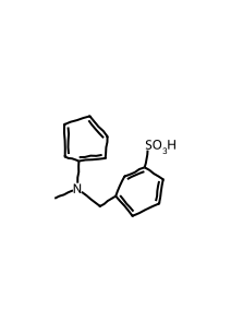 CN(Cc1cccc(S(=O)(=O)O)c1)c1ccccc1